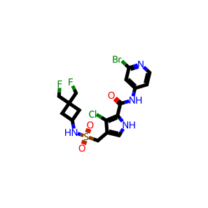 O=C(Nc1ccnc(Br)c1)c1[nH]cc(CS(=O)(=O)NC2CC(CF)(CF)C2)c1Cl